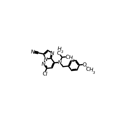 COc1ccc(CN(c2cc(Cl)nn3c(C#N)cnc23)C(C)C)cc1